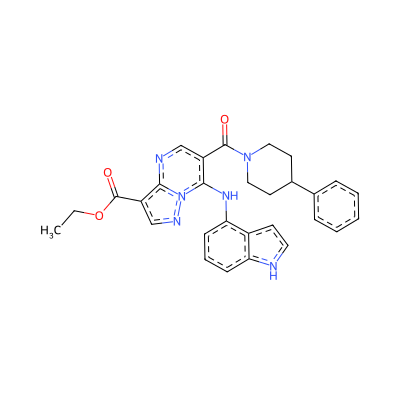 CCOC(=O)c1cnn2c(Nc3cccc4[nH]ccc34)c(C(=O)N3CCC(c4ccccc4)CC3)cnc12